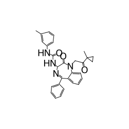 Cc1cccc(NC(=O)NC2N=C(c3ccccc3)c3ccccc3N(CC(=O)C3(C)CC3)C2=O)c1